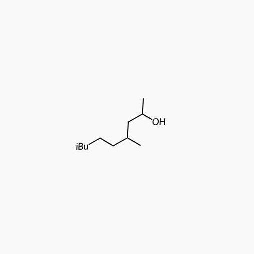 CCC(C)CCC(C)CC(C)O